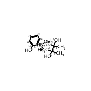 CC(C)(O)C(C)(C)O.OBO.Oc1ccccc1